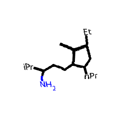 CCCC1CC(CC)C(C)C1CCC(N)C(C)C